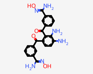 NC(=NO)c1cccc(C(=O)c2ccc(N)c(N)c2C(=O)c2cccc(C(N)=NO)c2)c1